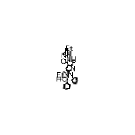 CCn1cnc(NC(=O)c2cc3c(nc2F)nc(C(O)(c2ccccc2)c2ccccc2)n3CC)n1